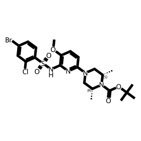 COc1ccc(N2C[C@@H](C)N(C(=O)OC(C)(C)C)[C@@H](C)C2)nc1NS(=O)(=O)c1ccc(Br)cc1Cl